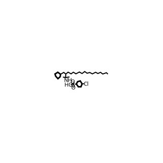 CCCCCCCCCCCCCCCCC(Cc1ccccc1)C(C)(C)N.O=S(=O)(O)c1ccc(Cl)cc1